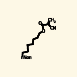 C=C(C#N)C(=O)OCCCCCCCCCCCCCCCC